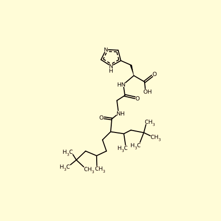 CC(CCC(C(=O)NCC(=O)N[C@@H](Cc1cnc[nH]1)C(=O)O)C(C)CC(C)(C)C)CC(C)(C)C